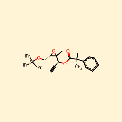 C#C[C@H](OC(=O)[C@@](C)(c1ccccc1)C(F)(F)F)C1(C)O[C@H]1CO[Si](C(C)C)(C(C)C)C(C)C